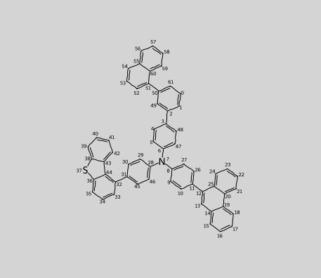 c1cc(-c2ccc(N(c3ccc(-c4cc5ccccc5c5ccccc45)cc3)c3ccc(-c4cccc5sc6ccccc6c45)cc3)cc2)cc(-c2cccc3ccccc23)c1